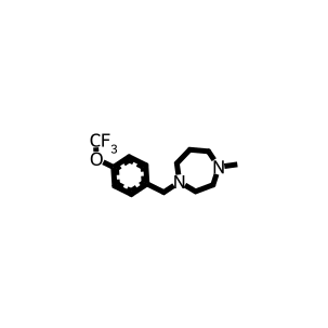 CN1CCCN(Cc2ccc(OC(F)(F)F)cc2)CC1